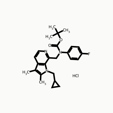 Cc1c(C)n(CC2CC2)c2c(CN(C(=O)OC(C)(C)C)c3ccc(F)cc3)nccc12.Cl